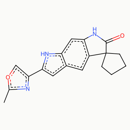 Cc1nc(-c2cc3cc4c(cc3[nH]2)NC(=O)C42CCCC2)co1